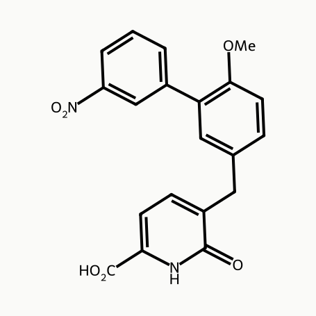 COc1ccc(Cc2ccc(C(=O)O)[nH]c2=O)cc1-c1cccc([N+](=O)[O-])c1